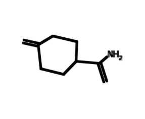 C=C1CCC(C(=C)N)CC1